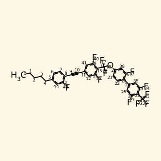 CCCCCc1ccc(C#Cc2cc(F)c(C(F)(F)Oc3ccc(-c4cc(F)c(C(F)(F)F)c(F)c4)c(F)c3)c(F)c2)c(F)c1